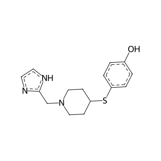 Oc1ccc(SC2CCN(Cc3ncc[nH]3)CC2)cc1